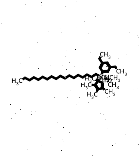 CCCCCCCCCCCCCCCCCC[Si](C)(c1cc(CC)cc(CC)c1)C1(C)C(C)=C(C)C(C)=[C]1[Ti]([CH3])([CH3])[CH3]